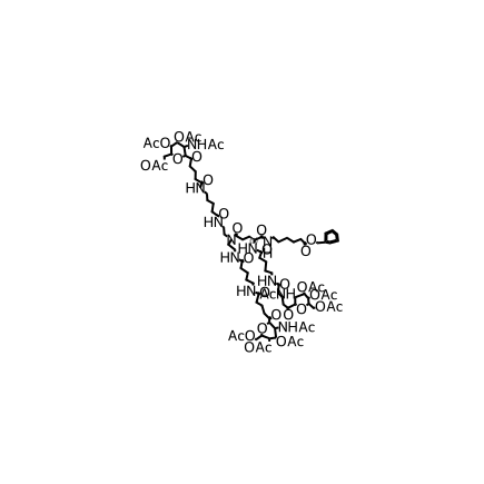 CC(=O)NC1C(C(=O)CCCC(=O)NCCCCC(=O)NCCN(CCNC(=O)CCCCNC(=O)CCCC(=O)C2OC(COC(C)=O)C(OC(C)=O)C(OC(C)=O)C2NC(C)=O)C(=O)CC[C@H](NC(=O)CCCCNC(=O)CCCC(=O)C2OC(COC(C)=O)C(OC(C)=O)C(OC(C)=O)C2NC(C)=O)C(=O)NCCCCCC(=O)OCc2ccccc2)OC(COC(C)=O)C(OC(C)=O)C1OC(C)=O